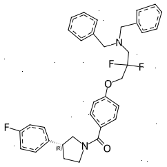 O=C(c1ccc(OCC(F)(F)CN(Cc2ccccc2)Cc2ccccc2)cc1)N1CC[C@H](c2ccc(F)cc2)C1